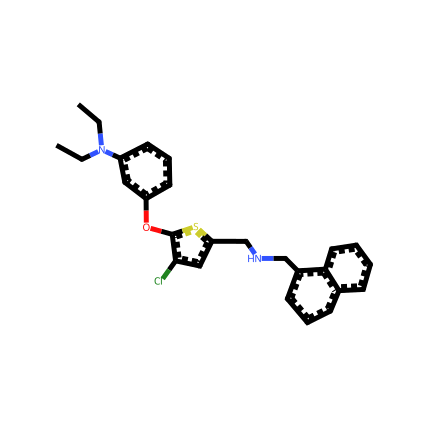 CCN(CC)c1cccc(Oc2sc(CNCc3cccc4ccccc34)cc2Cl)c1